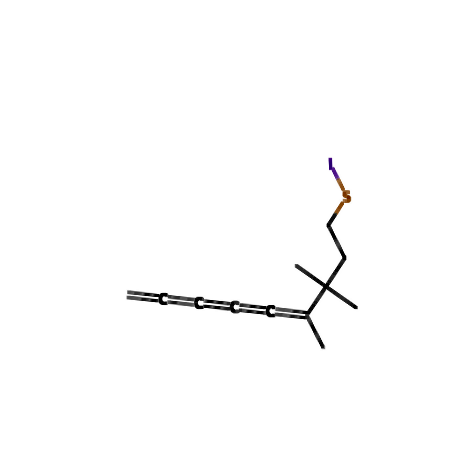 C=C=C=C=C=C(C)C(C)(C)CCSI